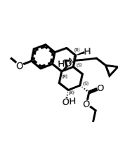 CCOC(=O)[C@H]1C[C@@]2(O)[C@H]3Cc4ccc(OC)cc4[C@@]2(CCN3CC2CC2)C[C@H]1O